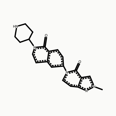 Cn1cc2c(=O)n(-c3ccc4c(=O)n(C5CCNCC5)ccc4c3)ccc2n1